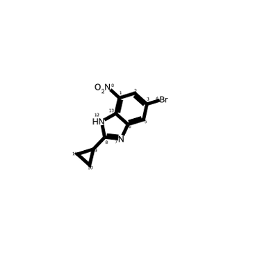 O=[N+]([O-])c1cc(Br)cc2nc(C3CC3)[nH]c12